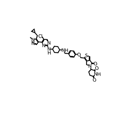 Cn1ncc(-c2nc(NC3CCC(NCc4ccc(OCc5scc6c5CN(C5CCC(=O)NC5=O)C6=O)cc4)CC3)ncc2Cl)c1CC1CC1